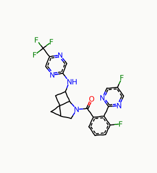 O=C(c1cccc(F)c1-c1ncc(F)cn1)N1CC2CC23CC(Nc2cnc(C(F)(F)F)cn2)C13